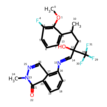 COc1c(F)cccc1C(C)CC(O)(/C=N/c1cccc2c(=O)n(C)ncc12)C(F)(F)F